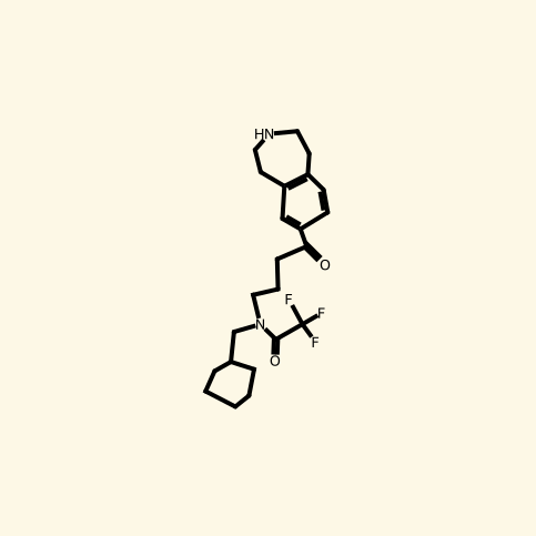 O=C(CCCN(CC1CCCCC1)C(=O)C(F)(F)F)c1ccc2c(c1)CCNCC2